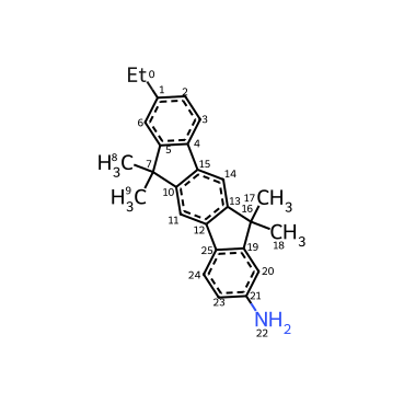 CCc1ccc2c(c1)C(C)(C)c1cc3c(cc1-2)C(C)(C)c1cc(N)ccc1-3